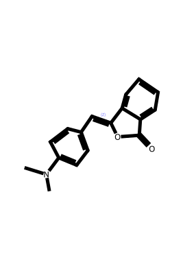 CN(C)c1ccc(/C=C2\OC(=O)c3ccccc32)cc1